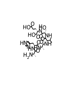 CC(C)[C@H](NC(=O)[C@H](C)NC(=O)[C@H](Cc1c[nH]cn1)NC(=O)[C@H](C)N)C(=O)N[C@@H](CO)C(=O)N[C@@H](CCC(=O)O)C(=O)O